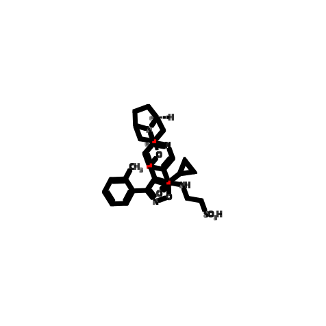 Cc1ccccc1-c1noc(C2CC2)c1CO[C@@H]1CC2CC[C@@H](C1)N2c1ccc(C(=O)NCCS(=O)(=O)O)cn1